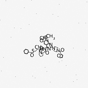 COc1cc2nc(N3CCN(C(=O)c4ccco4)CC3)nc(NC(=O)C3CCCN3C(=O)C(C)CSC(=O)c3ccccc3)c2cc1OC